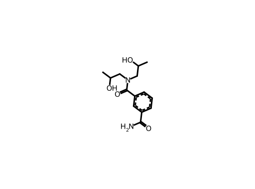 CC(O)CN(CC(C)O)C(=O)c1cccc(C(N)=O)c1